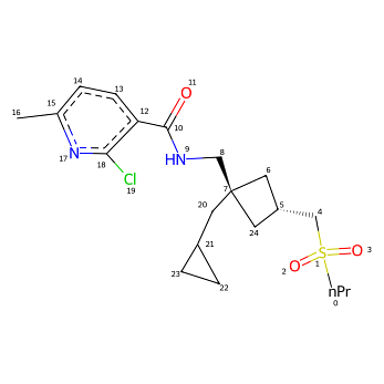 CCCS(=O)(=O)C[C@H]1C[C@@](CNC(=O)c2ccc(C)nc2Cl)(CC2CC2)C1